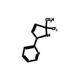 O=C(O)C1(C(F)(F)F)C=CN(c2ccccn2)N1